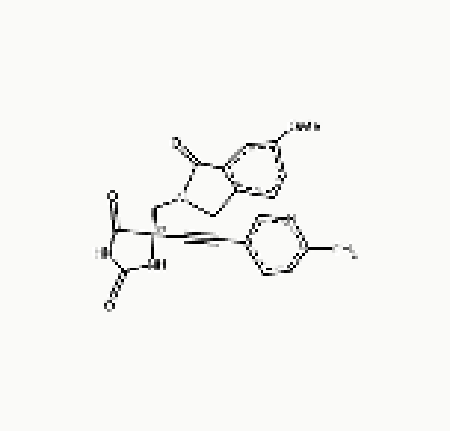 COc1ccc2c(c1)C(=O)N(C[C@@]1(C#Cc3ccc(C)nc3)NC(=O)NC1=O)C2